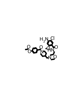 COc1cc(N)c(Cl)cc1C(=O)NCC1CN(CC2CCN(C(=O)c3ccc(OC(C)=O)cc3)CC2)CCO1